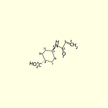 C=CC(=O)N[C@H]1CC[C@H](C(=O)O)CC1